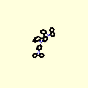 c1ccc2c(-n3c4ccccc4c4c5c6ccccc6n(-c6ccc(-n7c8ccccc8c8ccccc87)cc6)c5ccc43)cccc2c1